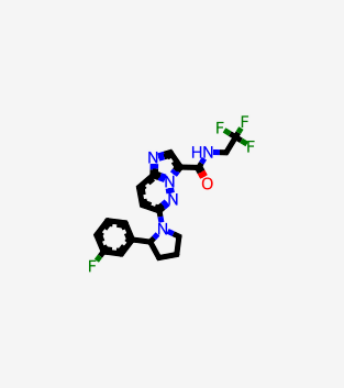 O=C(NCC(F)(F)F)c1cnc2ccc(N3CCCC3c3cccc(F)c3)nn12